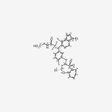 CC[C@@H]1CN(Cc2cc([C@@H](c3ccc4c(nnn4CC)c3C)C(C)(C)C(=O)NCC(=O)O)ccc2C)S(=O)(=O)c2ccccc2O1